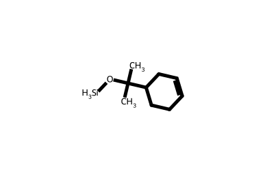 CC(C)(O[SiH3])C1CC=CCC1